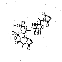 CCC(N)(O)OC(COC(O)(CC)NC(=O)C(C)N1C(=O)C=CC1=O)COC(O)(CC)NC(=O)C(C)N1C(=O)C=CC1=O